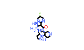 CC1CCNN1C1CC=NCC1NC(=O)C1C2=NCC(F)CN2NC1N